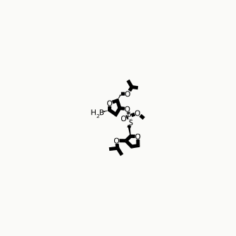 B[C@H]1CC(OP(=O)(OC)SC[C@H]2OCCC2OC(C)C)[C@@H](COC(C)C)O1